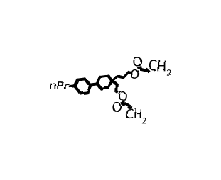 C=CC(=O)OCCCC1(CCOC(=O)C=C)CCC(C2CCC(CCC)CC2)CC1